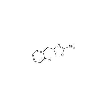 NC1=NC(Cc2ccccc2Cl)CO1